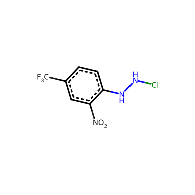 O=[N+]([O-])c1cc(C(F)(F)F)ccc1NNCl